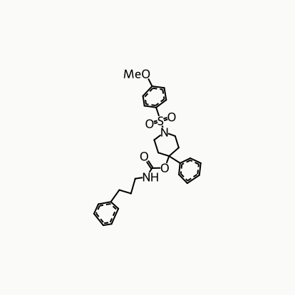 COc1ccc(S(=O)(=O)N2CCC(OC(=O)NCCCc3ccccc3)(c3ccccc3)CC2)cc1